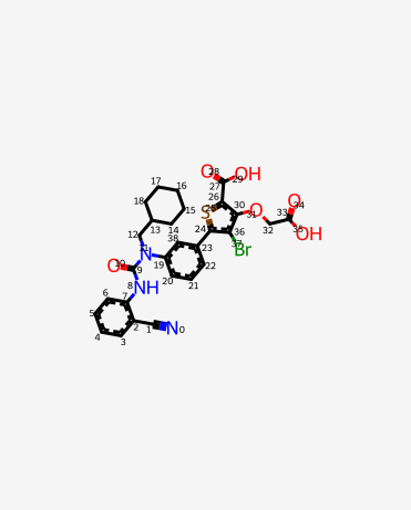 N#Cc1ccccc1NC(=O)N(CC1CCCCC1)c1cccc(-c2sc(C(=O)O)c(OCC(=O)O)c2Br)c1